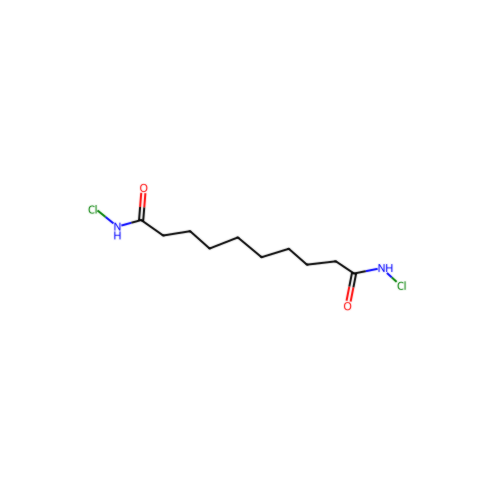 O=C(CCCCCCCCC(=O)NCl)NCl